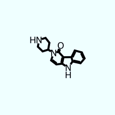 O=c1c2c(ccn1C1CCNCC1)[nH]c1ccccc12